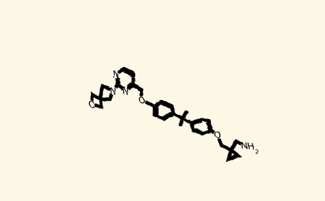 CC(C)(c1ccc(OCc2ccnc(N3CC4(COC4)C3)n2)cc1)c1ccc(OCC2(CN)CC2)cc1